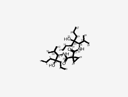 CCCC(O)(CCC)[C@H](NC(=O)C1(C(=O)N[C@H](C(C)C)C(O)(CCC)CCC)CC1)C(C)C